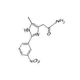 Cc1[nH]c(-c2cccc([N+](=O)[O-])c2)nc1CC(N)=O